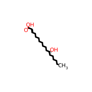 CCCCCC[C@@H](O)CCCCCCCCC=CC(=O)O